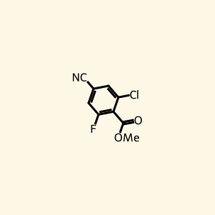 COC(=O)c1c(F)cc(C#N)cc1Cl